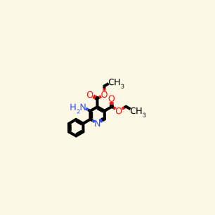 CCOC(=O)c1cnc(-c2ccccc2)c(N)c1C(=O)OCC